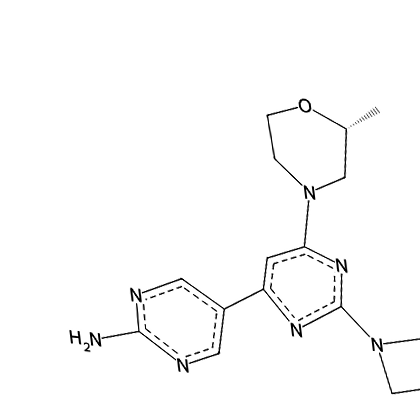 C[C@@H]1CN(c2cc(-c3cnc(N)nc3)nc(N3CCC3)n2)CCO1